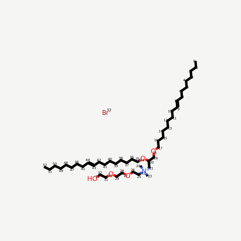 CCCCCCCCC=CCCCCCCCCOCC(C[N+](C)(C)CCOCCOCCO)OCCCCCCCCC=CCCCCCCCC.[Br-]